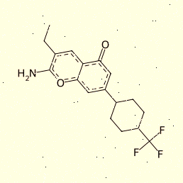 CCc1cc2c(=O)cc(C3CCC(C(F)(F)F)CC3)cc-2oc1N